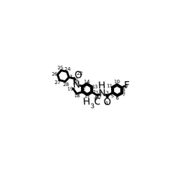 C[C@@H](NC(=O)c1ccc(F)cc1)c1ccc2c(c1)CCN2C(=O)C1CCCCC1